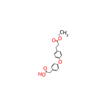 CCOC(=O)CCc1ccc(Oc2ccc(CC(=O)O)cc2)cc1